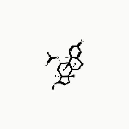 CSC1=CC[C@H]2[C@@H]3CCC4=CC(=O)C=C[C@]4(C)C3(F)[C@@H](OC(C)=O)C[C@]12C